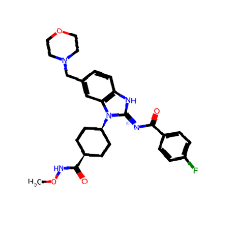 CONC(=O)[C@H]1CC[C@@H](n2/c(=N/C(=O)c3ccc(F)cc3)[nH]c3ccc(CN4CCOCC4)cc32)CC1